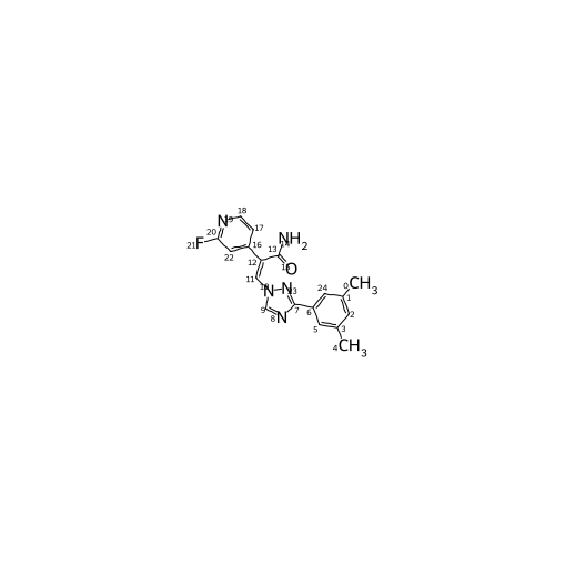 Cc1cc(C)cc(-c2ncn(C=C(C(N)=O)c3ccnc(F)c3)n2)c1